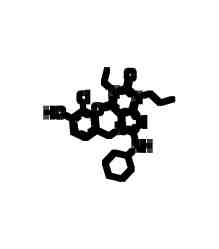 CCCn1c(=O)n(CC)c(=O)c2c1nc(NC1CCCCC1)n2Cc1ccc(O)c(Cl)c1